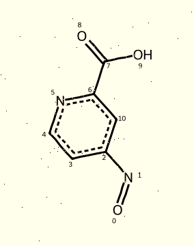 O=Nc1ccnc(C(=O)O)c1